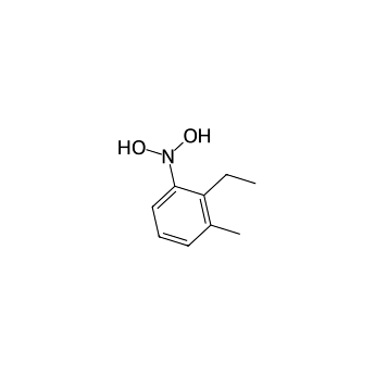 CCc1c(C)cccc1N(O)O